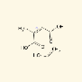 C/C(=C/C(=O)O)C(=O)O.C=CO